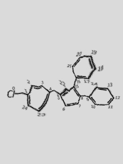 Clc1ccc(-c2ccc(-c3ccccc3)c(-c3ccccc3)c2)cc1